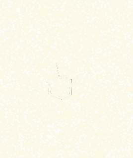 O=C([O-])c1cccnc1Cl.[Li+]